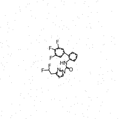 O=C(Nc1ccccc1-c1cc(F)c(F)c(F)c1)n1c[c]c(CC(F)F)n1